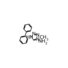 CN.c1ccc(-c2ccccc2)cc1.c1nnn[nH]1